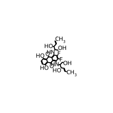 C/C=C/C(O)C(CO)Nc1c(F)c(F)c(NC(CO)C(O)/C=C/C)c2c1C(=O)c1c(O)ccc(O)c1C2=O